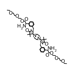 CCOCCOCCOC(=O)C(N)c1cccc(CN2C(=O)C(C)(C)C2N2CCN(C3N(Cc4cccc(C(N)C(=O)OCCOCCOCC)c4)C(=O)C3(C)C)CC2)c1